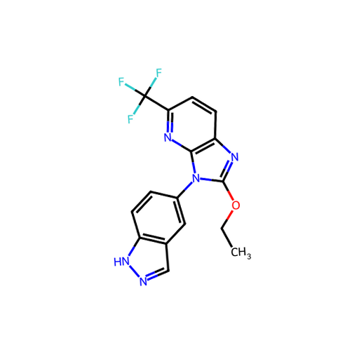 CCOc1nc2ccc(C(F)(F)F)nc2n1-c1ccc2[nH]ncc2c1